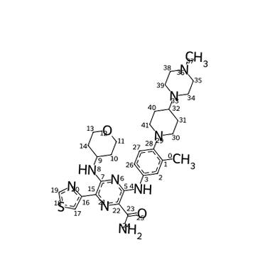 Cc1cc(Nc2nc(NC3CCOCC3)c(-c3cscn3)nc2C(N)=O)ccc1N1CCC(N2CCN(C)CC2)CC1